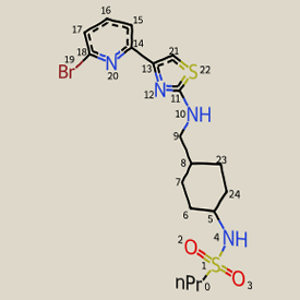 CCCS(=O)(=O)NC1CCC(CNc2nc(-c3cccc(Br)n3)cs2)CC1